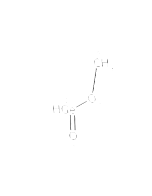 C[O][GeH]=[O]